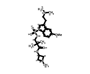 COc1ccc2c(c1)c(CCN(C)C)cn2S(=O)(=O)OCC(C)(C)C(=O)OC1CN(C)C1